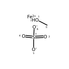 CO.O=S(=O)([O-])[O-].[Fe+2]